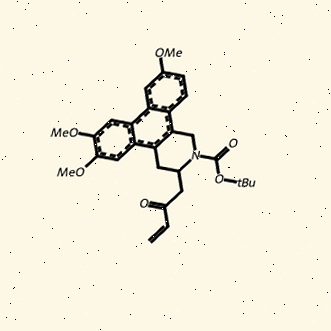 C=CC(=O)CC1Cc2c(c3ccc(OC)cc3c3cc(OC)c(OC)cc23)CN1C(=O)OC(C)(C)C